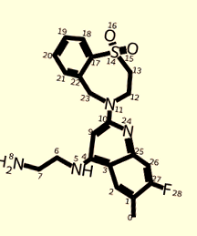 Cc1cc2c(NCCN)cc(N3CCS(=O)(=O)c4ccccc4C3)nc2cc1F